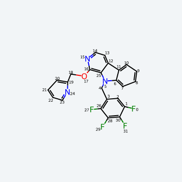 Fc1cc(Cn2c3ccccc3c3ccnc(OCc4ccccn4)c32)c(F)c(F)c1F